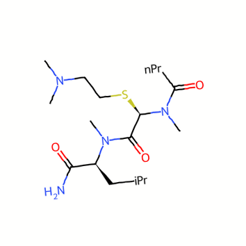 CCCC(=O)N(C)[C@H](SCCN(C)C)C(=O)N(C)[C@@H](CC(C)C)C(N)=O